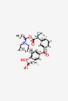 CC(=O)O.CCN(CC)C(C)OC(=O)C(C)c1cccc(C(=O)c2ccccc2)c1